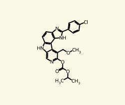 COCc1c(OC(=O)OC(C)C)ncc2[nH]c3ccc4nc(-c5ccc(Cl)cc5)[nH]c4c3c12